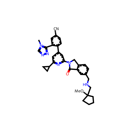 COC1(CNCc2ccc3c(c2)C(=O)N(c2cc(-c4ccc(C#N)cc4-c4nncn4C)cc(C4CC4)n2)C3)CCCC1